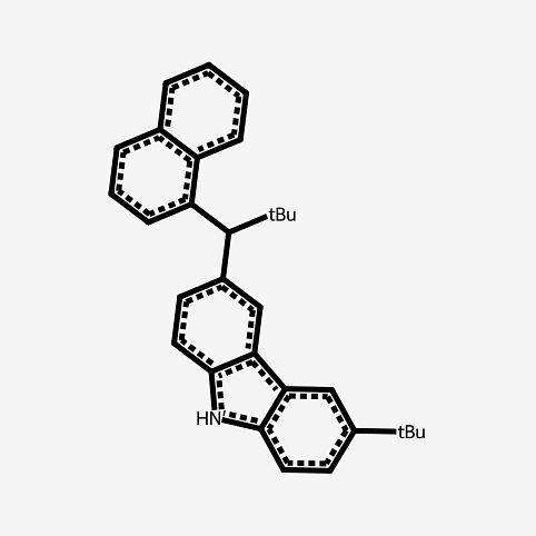 CC(C)(C)c1ccc2[nH]c3ccc(C(c4cccc5ccccc45)C(C)(C)C)cc3c2c1